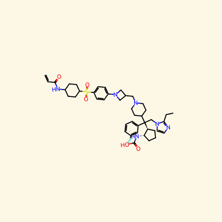 C=CC(=O)NC1CCC(S(=O)(=O)c2ccc(N3CC(CN4CCC(C(Cn5ccnc5CC)(c5cccc(F)c5)[C@H]5CCC[C@@H]5NC(=O)O)CC4)C3)cc2)CC1